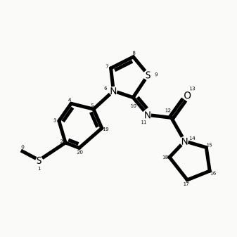 CSc1ccc(-n2ccsc2=NC(=O)N2CCCC2)cc1